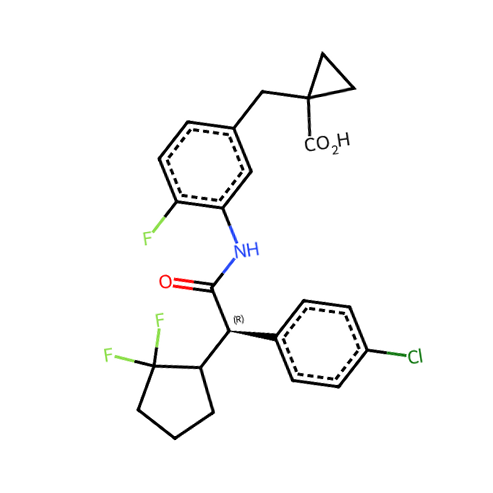 O=C(Nc1cc(CC2(C(=O)O)CC2)ccc1F)[C@@H](c1ccc(Cl)cc1)C1CCCC1(F)F